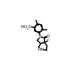 Cc1cc(C)c(N2CC3CNCCC3(F)C2=O)cc1C(=O)O